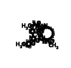 COc1ccc(-c2cc(O[C@@H]3C[C@H]4C(=O)N[C@]5(C(=O)NS(=O)(=O)C6CC6)C[C@H]5/C=C\CCCCC[C@H](NC(C)=O)C(=O)N4C3)c3oc4ccc(C)cc4c3n2)cc1